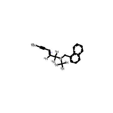 [2H]/C(=C\C#CC(C)(C)C)C([2H])([2H])N(Cc1cccc2ccccc12)C([2H])([2H])[2H]